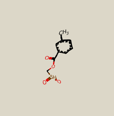 Cc1cccc(C(=O)OC[SH](=O)=O)c1